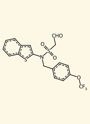 O=CCS(=O)(=O)N(Cc1ccc(OC(F)(F)F)cc1)c1cc2ccccc2s1